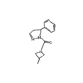 CC1CN(C(=O)N2N=CCC2c2ccccc2)C1